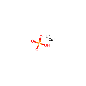 O=P([O-])([O-])O.[Cu+].[Li+]